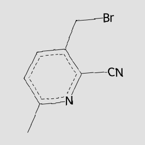 Cc1ccc(CBr)c(C#N)n1